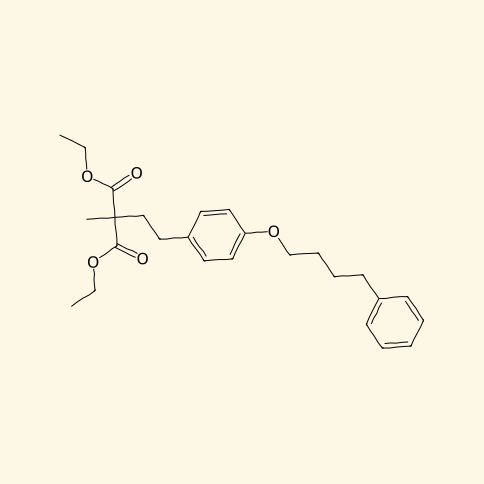 CCOC(=O)C(C)(CCc1ccc(OCCCCc2ccccc2)cc1)C(=O)OCC